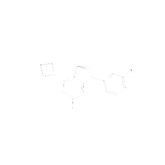 CS(=O)(=O)C1CN(c2nc(Cl)nc3c2cnn3-c2cccc(C(F)(F)F)c2)C1